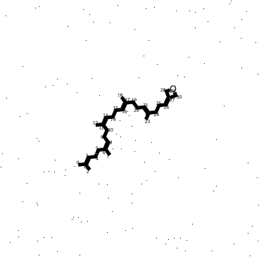 CC(C)=CCCC(C)=CCCC(C)=CCCC=C(C)CCC=C(C)CCC=C1COC1